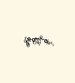 Cc1cc(-c2ccc(F)c(C(=O)N3CCOCC3)n2)cc2cc(CNC(=O)/C=C/c3ccc(N)nc3)oc12